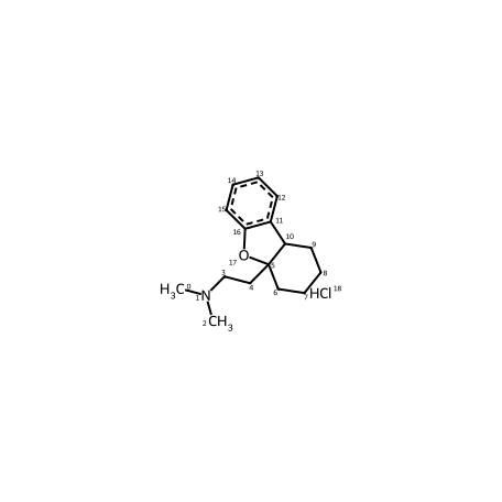 CN(C)CCC12CCCCC1c1ccccc1O2.Cl